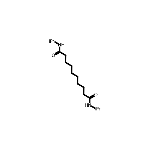 CC(C)NC(=O)CCCCCCCCC(=O)NC(C)C